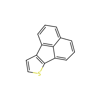 c1cc2c3c(cccc3c1)-c1sccc1-2